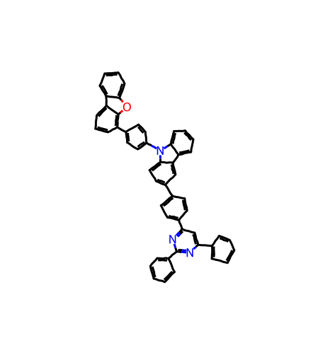 c1ccc(-c2cc(-c3ccc(-c4ccc5c(c4)c4ccccc4n5-c4ccc(-c5cccc6c5oc5ccccc56)cc4)cc3)nc(-c3ccccc3)n2)cc1